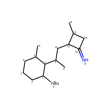 CCCCC1CCCC(C)C1C(C)CC1C(=N)CC1C